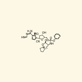 C[C@H](NP(=O)(OC[C@H]1O[C@@](C#N)(c2ccc(/C(N)=N\C=N)[nH]2)[C@H](O)[C@@H]1O)Oc1ccccc1)C(=O)OC1CCCC1